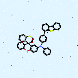 c1ccc(N(c2ccc(-c3cccc4c3sc3ccccc34)cc2)c2ccc3c(c2)C2(c4ccccc4O3)c3ccccc3Sc3ccccc32)cc1